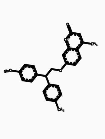 COc1ccc(C(COc2ccc3c(C)cc(=O)oc3c2)c2ccc(C)cc2)cc1